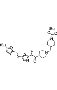 CC(C)(C)OC(=O)N1CCC(CN2CCC(C(=O)Nc3ncc(SCc4ncc(C(C)(C)C)o4)s3)CC2)CC1